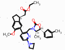 CCOC(=O)C[C@@H]1CCc2cc(OC)c(-c3ccc(N4CCC4)nc3CN3C(=O)O[C@H](c4cccc(C)c4)[C@@H]3C)cc21